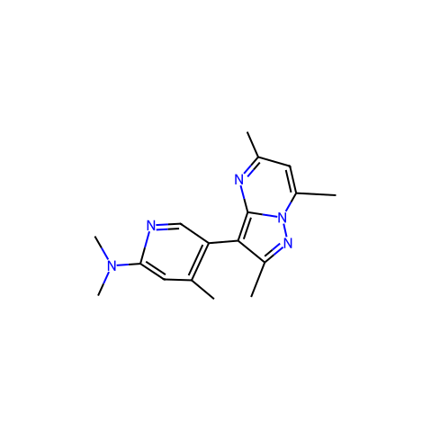 Cc1cc(C)n2nc(C)c(-c3cnc(N(C)C)cc3C)c2n1